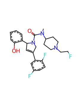 CN(C(=O)N1CC(c2cc(F)ccc2F)=CC1c1ccccc1O)C1CCN(CCF)CC1